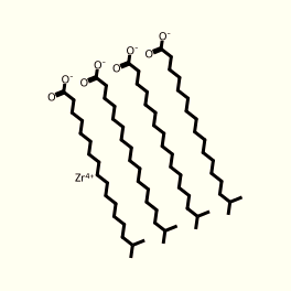 CC(C)CCCCCCCCCCCCCCC(=O)[O-].CC(C)CCCCCCCCCCCCCCC(=O)[O-].CC(C)CCCCCCCCCCCCCCC(=O)[O-].CC(C)CCCCCCCCCCCCCCC(=O)[O-].[Zr+4]